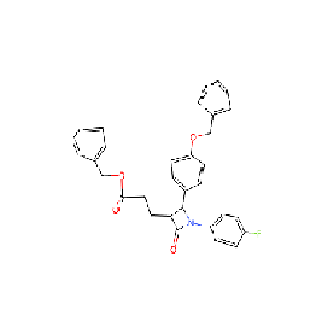 O=C(CCC1C(=O)N(c2ccc(F)cc2)C1c1ccc(OCc2ccccc2)cc1)OCc1ccccc1